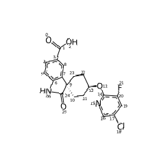 O=C(O)c1ccc2c(c1)[C@]1(CC[C@H](Oc3ncc(Cl)cc3F)CC1)C(=O)N2